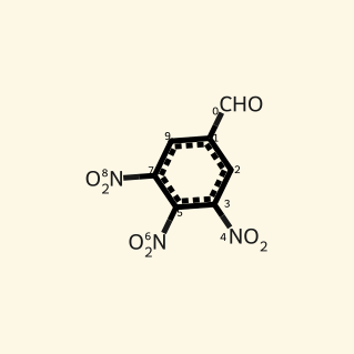 O=Cc1cc([N+](=O)[O-])c([N+](=O)[O-])c([N+](=O)[O-])c1